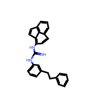 N=C(Nc1cccc(CCc2ccccc2)c1)Nc1ccc2cccc3c2c1C=C3